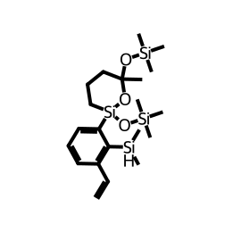 C=Cc1cccc([Si]2(O[Si](C)(C)C)CCCC(C)(O[Si](C)(C)C)O2)c1[SiH](C)C